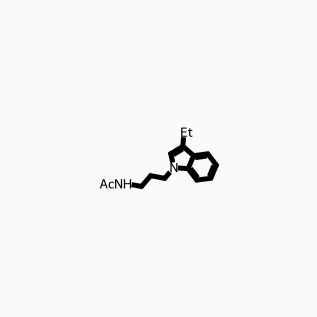 CCc1cn(CCCNC(C)=O)c2ccccc12